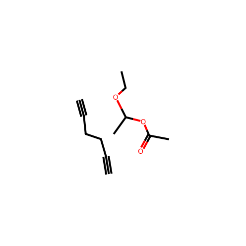 C#CCCC#C.CCOC(C)OC(C)=O